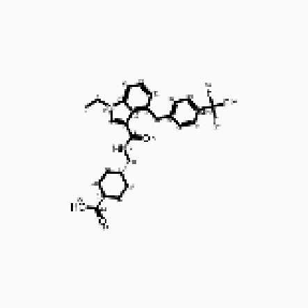 CCn1cc(C(=O)NC[C@H]2CC[C@H](C(=O)O)CC2)c2c(Cc3ccc(C(F)(F)F)cc3)cccc21